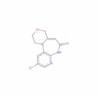 O=C1C=C2COCCN2c2cc(Cl)cnc2N1